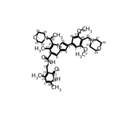 COc1cc(-c2cc3cc(C(=O)NCc4c(C)cc(C)[nH]c4=O)c(C)c(C(C)N4CCOCC4)n3c2)cc(OC)c1CN1CCOCC1